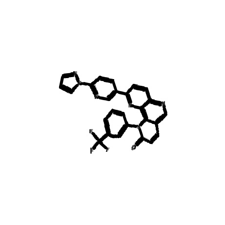 O=c1ccc2cnc3ccc(-c4ccc(-n5cccn5)nc4)nc3c2n1-c1cccc(C(F)(F)F)c1